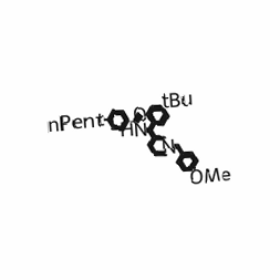 CCCCC[C@H]1CC[C@H](C(=O)NC(c2ccc(C(C)(C)C)cc2)C2CCCN(Cc3ccc(OC)cc3)C2)CC1